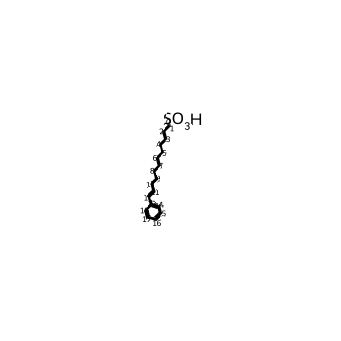 O=S(=O)(O)CCCCCCCCCCC=Cc1ccccc1